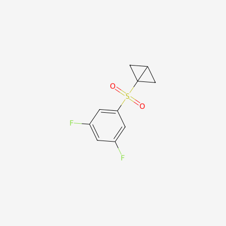 O=S(=O)(c1cc(F)cc(F)c1)C12CC1C2